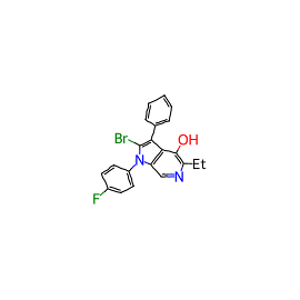 [CH2]Cc1ncc2c(c1O)c(-c1ccccc1)c(Br)n2-c1ccc(F)cc1